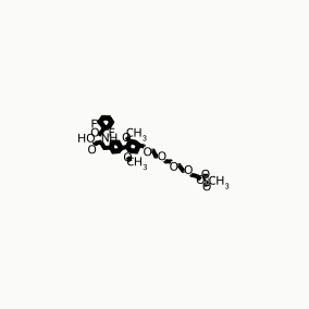 COc1cc(COCCOCCOCCOCCOS(C)(=O)=O)cc(OC)c1-c1ccc(CC(NC(=O)c2c(F)cccc2F)C(=O)O)cc1